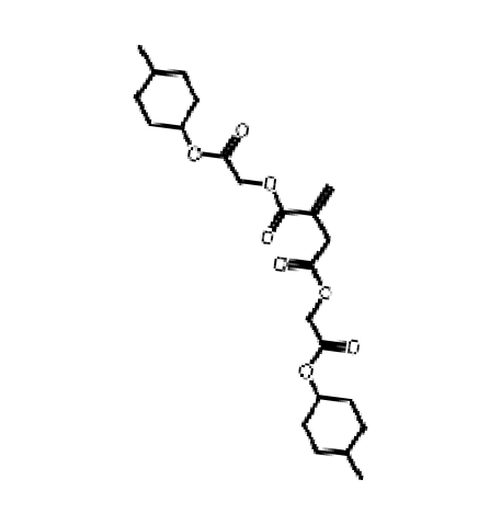 C=C(CC(=O)OCC(=O)OC1CCC(C)CC1)C(=O)OCC(=O)OC1CCC(C)CC1